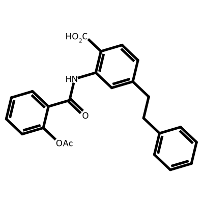 CC(=O)Oc1ccccc1C(=O)Nc1cc(CCc2ccccc2)ccc1C(=O)O